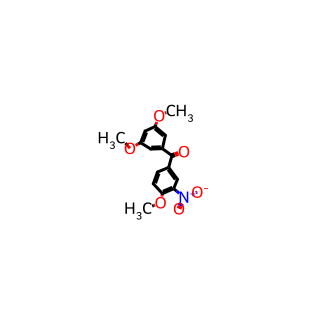 COc1cc(OC)cc(C(=O)c2ccc(OC)c([N+](=O)[O-])c2)c1